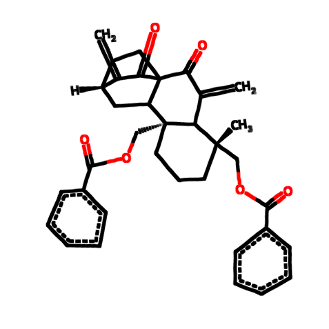 C=C1C(=O)C23CC[C@@H](CC2[C@]2(COC(=O)c4ccccc4)CCC[C@@](C)(COC(=O)c4ccccc4)C12)C(=C)C3=O